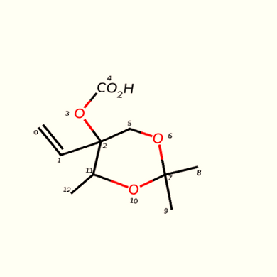 C=CC1(OC(=O)O)COC(C)(C)OC1C